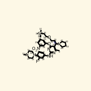 Cc1nc(Nc2ccc(N3CCN(C)CC3)c(F)c2)nc(Oc2cccc([N+](=O)[O-])c2)c1/C(=C\COCC[Si](C)(C)C)N1CCCC1